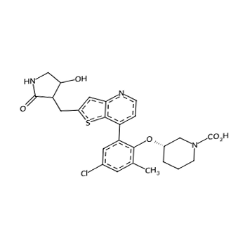 Cc1cc(Cl)cc(-c2ccnc3cc(CC4C(=O)NCC4O)sc23)c1O[C@H]1CCCN(C(=O)O)C1